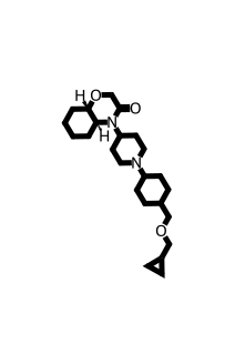 O=C1CO[C@H]2CCCC[C@@H]2N1C1CCN(C2CCC(COCC3CC3)CC2)CC1